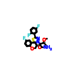 CO[C@@H](C)C(=O)N1N=C(c2cc(F)ccc2F)S[C@]12c1cc(F)ccc1OC[C@H]2CCN